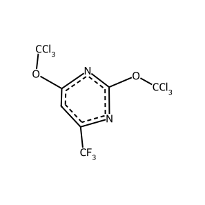 FC(F)(F)c1cc(OC(Cl)(Cl)Cl)nc(OC(Cl)(Cl)Cl)n1